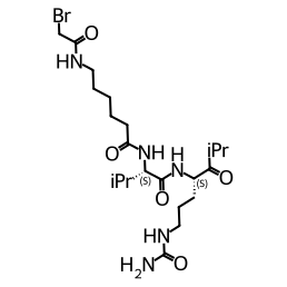 CC(C)C(=O)[C@H](CCCNC(N)=O)NC(=O)[C@@H](NC(=O)CCCCCNC(=O)CBr)C(C)C